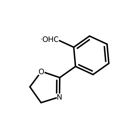 O=[C]c1ccccc1C1=NCCO1